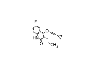 CCCc1c(OC#CC2CC2)c2cc(F)ccc2[nH]c1=O